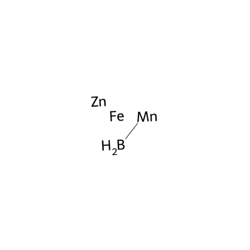 [BH2][Mn].[Fe].[Zn]